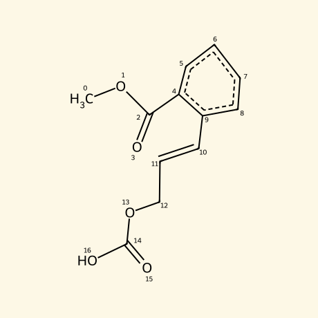 COC(=O)c1ccccc1C=CCOC(=O)O